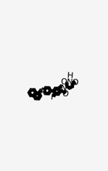 O=C1CCC(N2Cc3cc(C4CCN(Cc5cccc6c5CCCC6)CC4)c(F)cc3C2=O)C(=O)N1